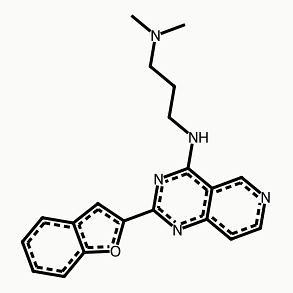 CN(C)CCCNc1nc(-c2cc3ccccc3o2)nc2ccncc12